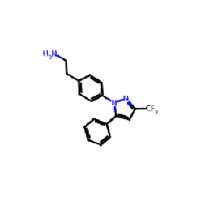 NCCc1ccc(-n2nc(C(F)(F)F)cc2-c2ccccc2)cc1